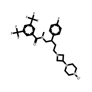 CN(CC(CCN1CC(N2CC[S+]([O-])CC2)C1)c1ccc(F)cc1)C(=O)c1cc(C(F)(F)F)cc(C(F)(F)F)c1